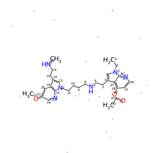 CCn1cc(CCNCCCCn2cc(CCNC)c3cc(OC)cnc32)c2c(OC(C)=O)ccnc21